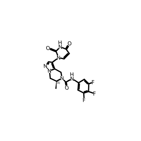 C[C@H]1Cn2ncc(-n3ccc(=O)[nH]c3=O)c2CN1C(=O)Nc1cc(F)c(F)c(F)c1